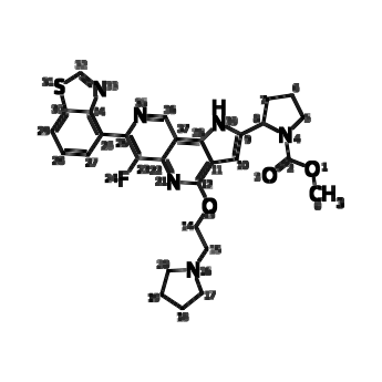 COC(=O)N1CCCC1c1cc2c(OCCN3CCCC3)nc3c(F)c(-c4cccc5scnc45)ncc3c2[nH]1